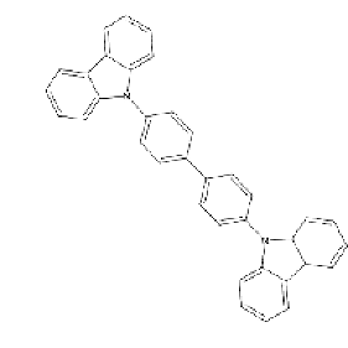 C1=CC2c3ccccc3N(c3ccc(-c4ccc(-n5c6ccccc6c6ccccc65)cc4)cc3)C2C=C1